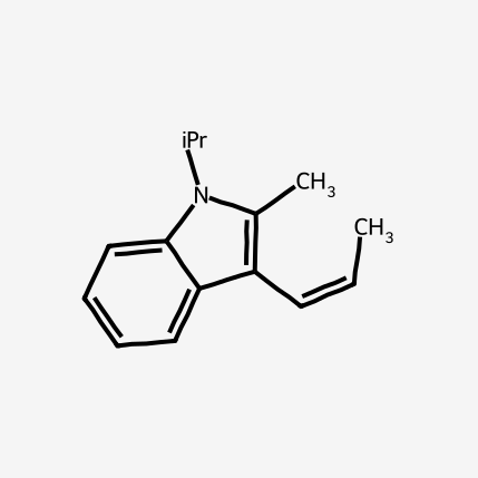 C/C=C\c1c(C)n(C(C)C)c2ccccc12